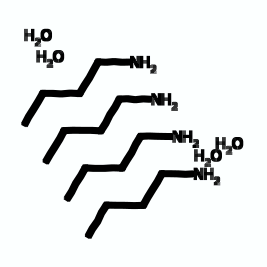 CCCCN.CCCCN.CCCCN.CCCCN.O.O.O.O